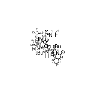 C=CCNC(=O)C(=O)C(CC1CCC1)NC(=O)[C@@H]1[C@@H]2[C@H](CN1C(=O)[C@@H](NC(=O)N[C@H](CN1C(=O)Cc3ccccc3C1=O)C(C)(C)C)C(C)(C)C)C2(C)C